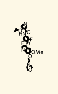 COc1cc2c(Oc3c(F)cc(NC(=O)c4cnccc4OC4CC4)cc3F)ccnc2cc1OCCCN1CCOCC1